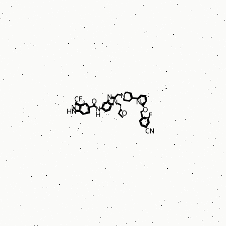 N#Cc1ccc(COc2cccc(C3=CCN(Cc4nc5cc(NC(=O)c6ccc7[nH]nc(C(F)(F)F)c7c6)ccc5n4C[C@@H]4CCO4)CC3)n2)c(F)c1